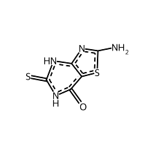 Nc1nc2[nH]c(=S)[nH]c(=O)c2s1